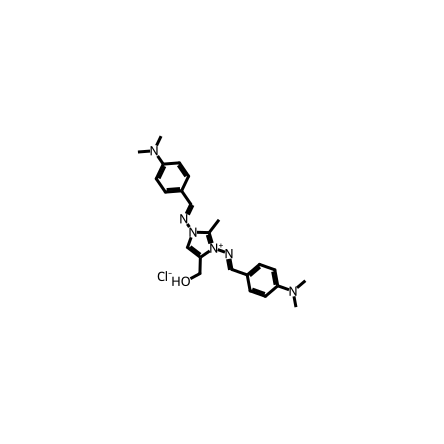 Cc1n(N=Cc2ccc(N(C)C)cc2)cc(CO)[n+]1N=Cc1ccc(N(C)C)cc1.[Cl-]